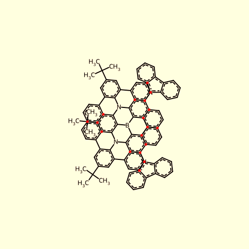 CC(C)(C)c1cc(-c2ccccc2)c(N2c3cc(-n4c5ccccc5c5ccccc54)cc(-c4ccccc4)c3B3c4c(-c5ccccc5)cc(-n5c6ccccc6c6ccccc65)cc4N(c4c(-c5ccccc5)cc(C(C)(C)C)cc4-c4ccccc4)c4cc(C(C)(C)C)cc2c43)c(-c2ccccc2)c1